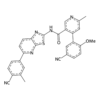 COc1ccc(C#N)cc1-c1cc(C)ncc1C(=O)Nc1nc2ccc(-c3ccc(C#N)c(C)c3)nc2s1